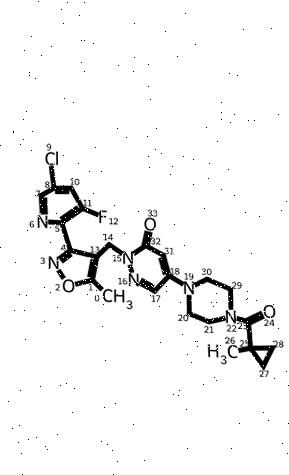 Cc1onc(-c2ncc(Cl)cc2F)c1Cn1ncc(N2CCN(C(=O)C3(C)CC3)CC2)cc1=O